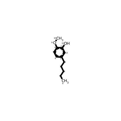 CCCCCc1ccc(OC)c(O)c1